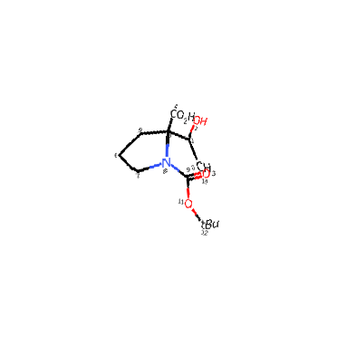 CC(O)C1(C(=O)O)CCCN1C(=O)OC(C)(C)C